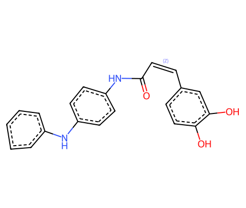 O=C(/C=C\c1ccc(O)c(O)c1)Nc1ccc(Nc2ccccc2)cc1